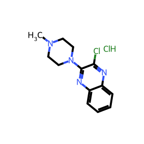 CN1CCN(c2nc3ccccc3nc2Cl)CC1.Cl